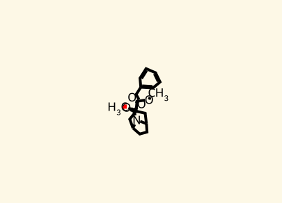 COC(=O)C1(C)CC2CCC(C1)N2C(=O)OCc1ccccc1